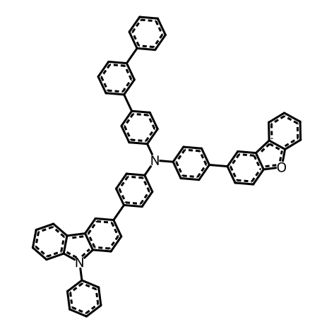 c1ccc(-c2cccc(-c3ccc(N(c4ccc(-c5ccc6oc7ccccc7c6c5)cc4)c4ccc(-c5ccc6c(c5)c5ccccc5n6-c5ccccc5)cc4)cc3)c2)cc1